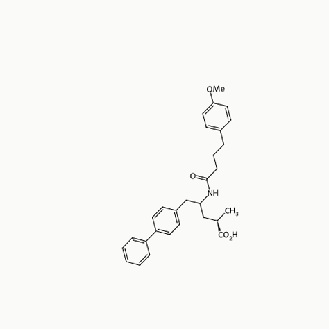 COc1ccc(CCCC(=O)NC(Cc2ccc(-c3ccccc3)cc2)C[C@@H](C)C(=O)O)cc1